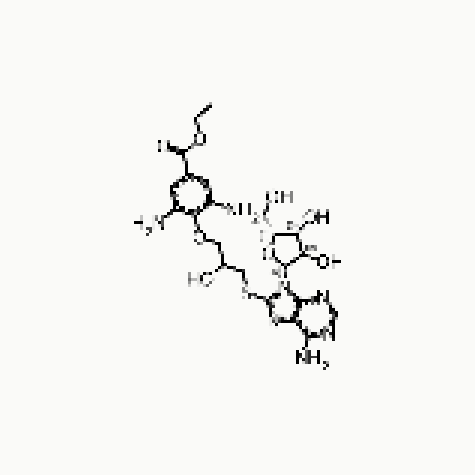 CCOC(=O)c1cc(N)c(OCC(O)CSc2nc3c(N)ncnc3n2[C@@H]2O[C@H](CO)[C@@H](O)[C@H]2O)c(N)c1